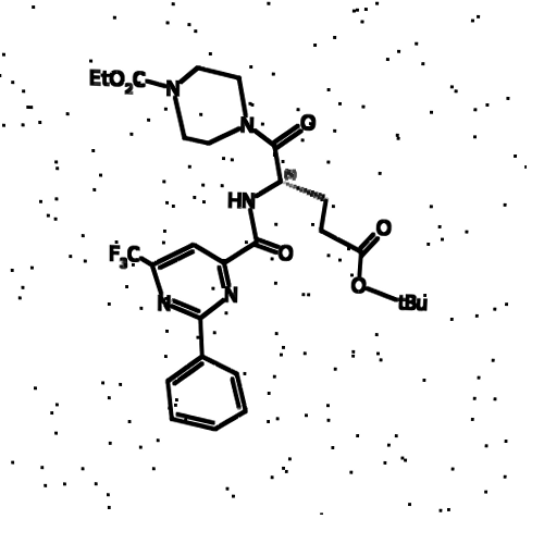 CCOC(=O)N1CCN(C(=O)[C@H](CCC(=O)OC(C)(C)C)NC(=O)c2cc(C(F)(F)F)nc(-c3ccccc3)n2)CC1